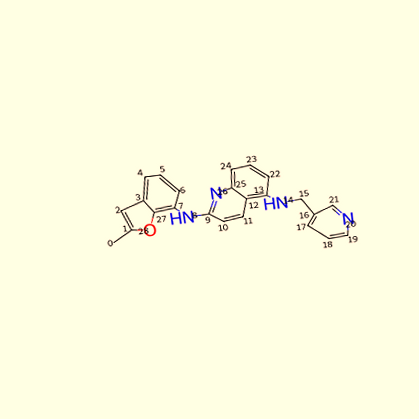 Cc1cc2cccc(Nc3ccc4c(NCc5cccnc5)cccc4n3)c2o1